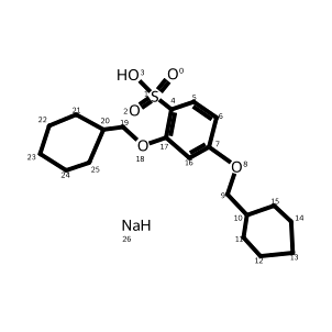 O=S(=O)(O)c1ccc(OCC2CCCCC2)cc1OCC1CCCCC1.[NaH]